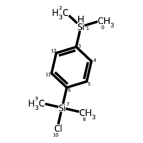 C[SiH](C)c1ccc([Si](C)(C)Cl)cc1